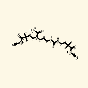 CC(C)(CCNC(=S)NCCCN(CCC(C)(C)C(=O)NC#N)C(N)=S)C(=O)NC#N